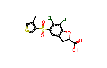 Cc1cscc1S(=O)(=O)c1cc2c(c(Cl)c1Cl)OC(C(=O)O)C2